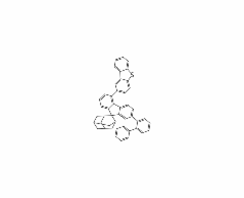 c1ccc(-c2ccccc2-c2ccc3c(c2)C2(c4cccc(-c5ccc6sc7ccccc7c6c5)c4-3)C3CC4CC(C3)CC2C4)cc1